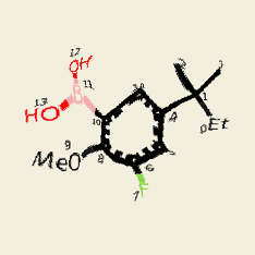 CCC(C)(C)c1cc(F)c(OC)c(B(O)O)c1